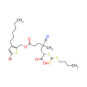 CCCCCCc1cc(Br)sc1COC(=O)CCC(C)(C#N)CC(SC(=S)SCCCC)C(=O)O